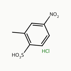 Cc1cc([N+](=O)[O-])ccc1S(=O)(=O)O.Cl